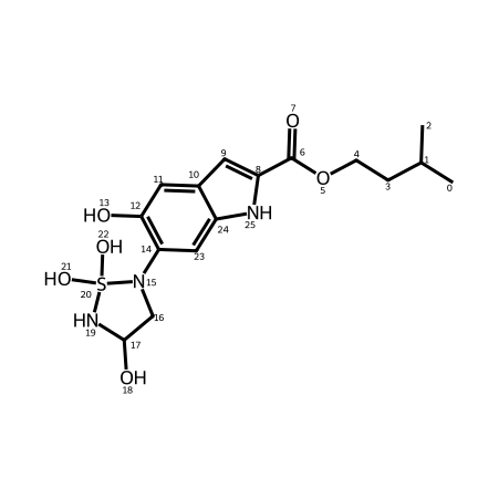 CC(C)CCOC(=O)c1cc2cc(O)c(N3CC(O)NS3(O)O)cc2[nH]1